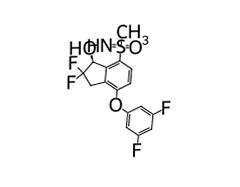 CS(=N)(=O)c1ccc(Oc2cc(F)cc(F)c2)c2c1[C@H](O)C(F)(F)C2